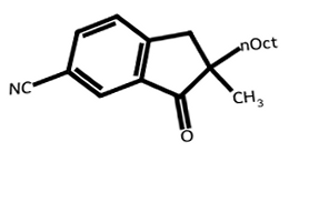 CCCCCCCCC1(C)Cc2ccc(C#N)cc2C1=O